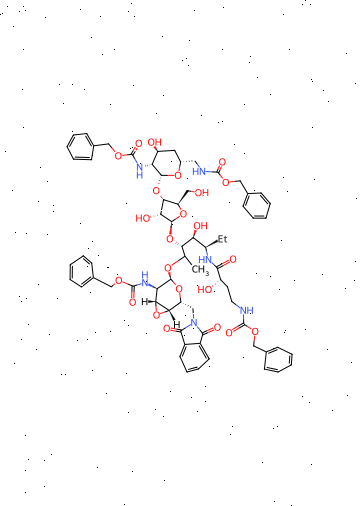 CC[C@@H](NC(=O)[C@@H](O)CCNC(=O)OCc1ccccc1)[C@H](O)[C@@H](O[C@@H]1O[C@H](CO)[C@@H](O[C@H]2O[C@@H](CNC(=O)OCc3ccccc3)C[C@H](O)[C@H]2NC(=O)OCc2ccccc2)[C@H]1O)C(C)O[C@H]1O[C@H](CN2C(=O)c3ccccc3C2=O)[C@@H]2O[C@@H]2[C@H]1NC(=O)OCc1ccccc1